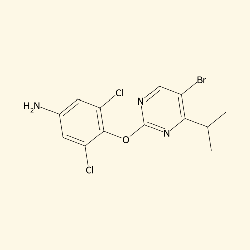 CC(C)c1nc(Oc2c(Cl)cc(N)cc2Cl)ncc1Br